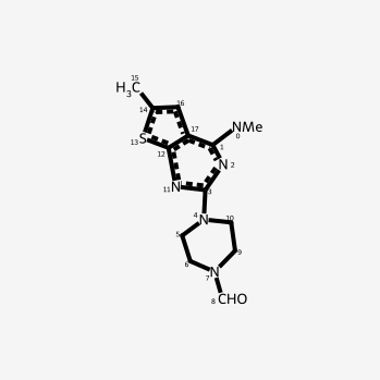 CNc1nc(N2CCN(C=O)CC2)nc2sc(C)cc12